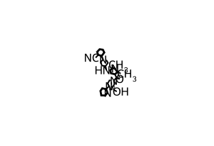 Cc1nc(C)c(C(=O)N2CCN(c3ccccn3)[C@H](CO)C2)cc1NC1CCN(c2ccccc2C#N)CC1